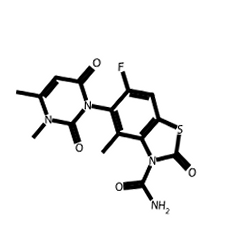 Cc1c(-n2c(=O)cc(C)n(C)c2=O)c(F)cc2sc(=O)n(C(N)=O)c12